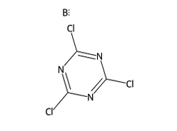 Clc1nc(Cl)nc(Cl)n1.[B]